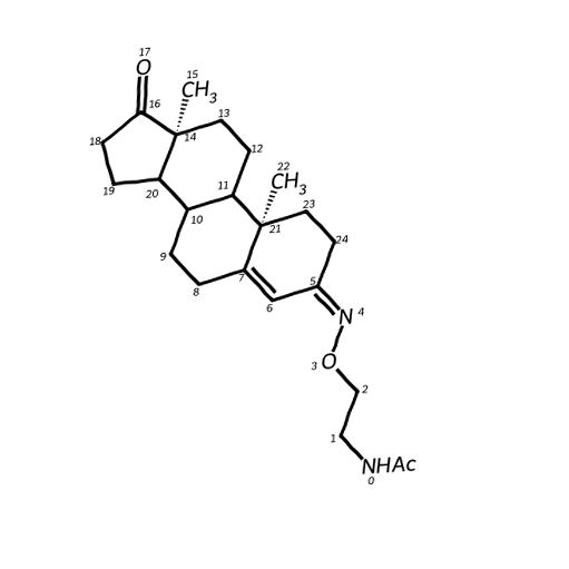 CC(=O)NCCON=C1C=C2CCC3C(CC[C@]4(C)C(=O)CCC34)[C@@]2(C)CC1